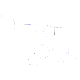 Cc1cnc(NC(=O)[C@@H]2CC3(CC3)CN2C(=O)C(CC2CCCC2)CC(O)NO)s1